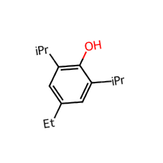 CCc1cc(C(C)C)c(O)c(C(C)C)c1